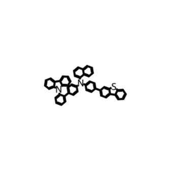 c1ccc(-n2c3ccccc3c3ccccc32)c(-c2ccc(N(c3ccc(-c4ccc5c(c4)sc4ccccc45)cc3)c3cccc4ccccc34)cc2)c1